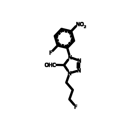 O=CC1N(CCCF)N=NN1c1cc([N+](=O)[O-])ccc1F